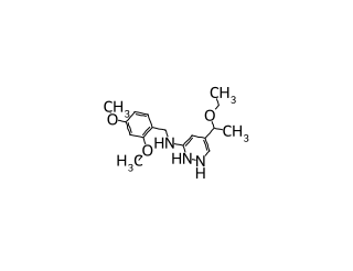 CCOC(C)C1=CNNC(NCc2ccc(OC)cc2OC)=C1